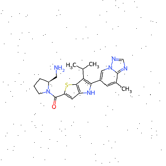 Cc1cc(-c2[nH]c3cc(C(=O)N4CCC[C@H]4CN)sc3c2C(C)C)cn2ncnc12